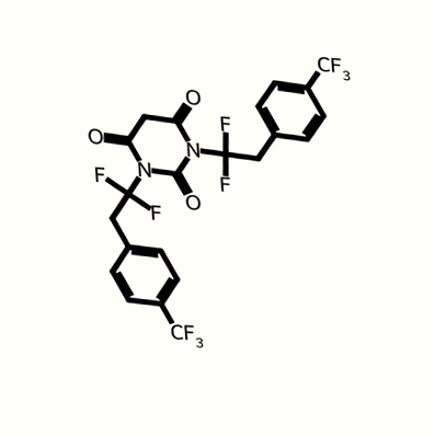 O=C1CC(=O)N(C(F)(F)Cc2ccc(C(F)(F)F)cc2)C(=O)N1C(F)(F)Cc1ccc(C(F)(F)F)cc1